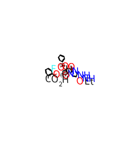 CCNC(=O)Nc1ccn([C@@H]2O[C@H](COCc3c(F)cccc3C(=O)O)C3O[C@H](c4ccccc4)O[C@@H]32)c(=O)n1